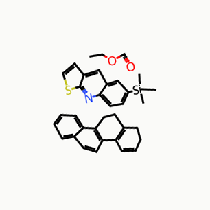 C1=CC2=C(CC1)CCc1c2ccc2ccccc12.CCOC=O.C[Si](C)(C)c1ccc2nc3sccc3cc2c1